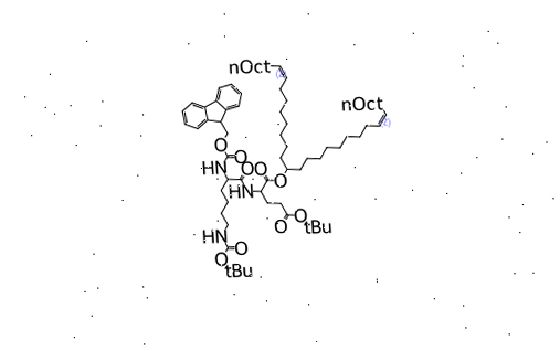 CCCCCCCC/C=C\CCCCCCCCC(CCCCCCC/C=C\CCCCCCCC)OC(=O)C(CCC(=O)OC(C)(C)C)NC(=O)C(CCCCNC(=O)OC(C)(C)C)NC(=O)OCC1c2ccccc2-c2ccccc21